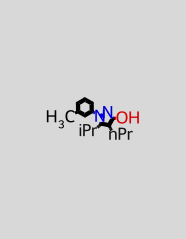 CCCc1c(O)nn(-c2cccc(C)c2)c1C(C)C